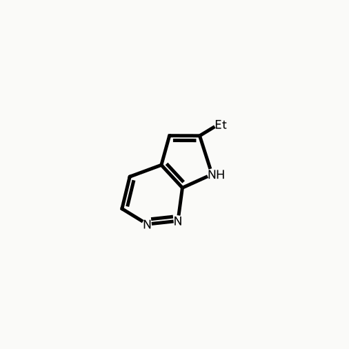 CCc1cc2ccnnc2[nH]1